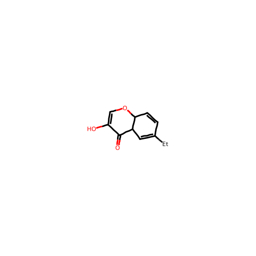 CCC1=CC2C(=O)C(O)=COC2C=C1